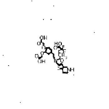 CC(=O)N(CCc1ccc(OCC(=O)O)c(OCC(=O)O)c1)Cc1cc2c(s1)CCNC2.O=C(O)C(F)(F)F